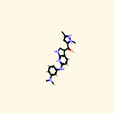 Cc1cc(C(=O)C2CNc3nc(Nc4cccc(N(C)C)c4)ccc32)n(C)n1